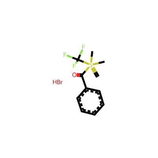 Br.C=S(C)(C)(C(=O)c1ccccc1)C(F)(F)F